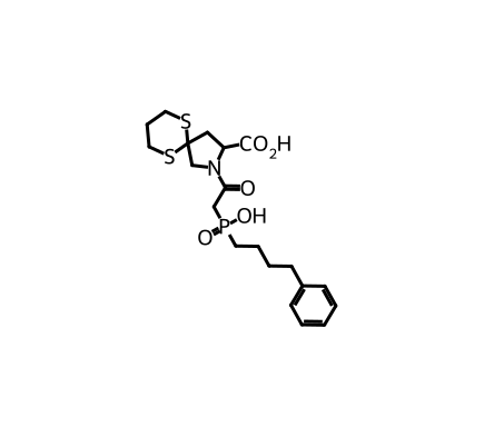 O=C(O)C1CC2(CN1C(=O)CP(=O)(O)CCCCc1ccccc1)SCCCS2